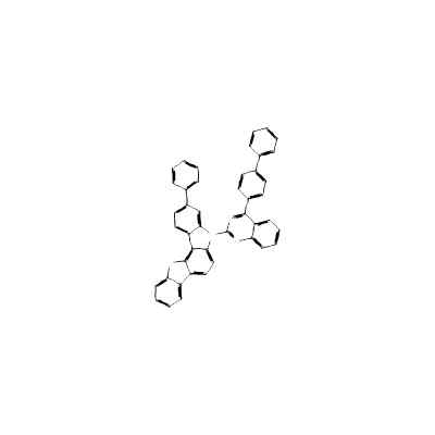 c1ccc(-c2ccc(-c3nc(-n4c5cc(-c6ccccc6)ccc5c5c6oc7ccccc7c6ccc54)nc4ccccc34)cc2)cc1